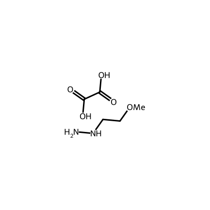 COCCNN.O=C(O)C(=O)O